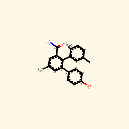 COc1ccc(C)cc1-c1c(C(N)=O)cc(C(F)(F)F)cc1-c1ccc(O)cc1